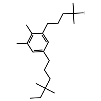 CCC(C)(C)CCCc1cc(C)c(C)c(CCCC(C)(C)I)c1